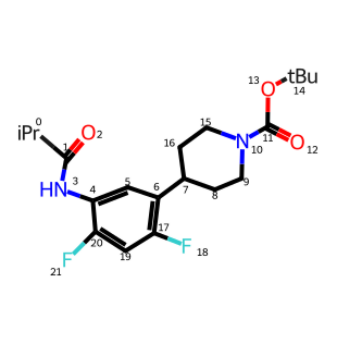 CC(C)C(=O)Nc1cc(C2CCN(C(=O)OC(C)(C)C)CC2)c(F)cc1F